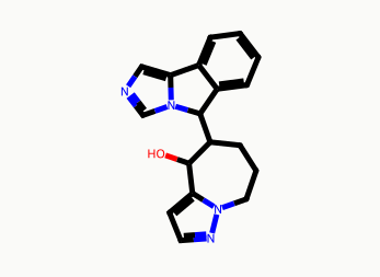 OC1c2ccnn2CCCC1C1c2ccccc2-c2cncn21